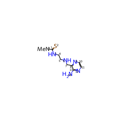 CNC(=S)NCCNCc1nccnc1N